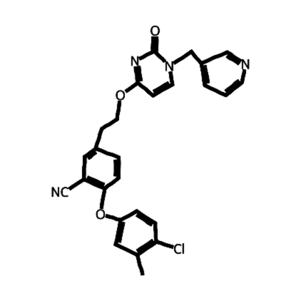 Cc1cc(Oc2ccc(CCOc3ccn(Cc4cccnc4)c(=O)n3)cc2C#N)ccc1Cl